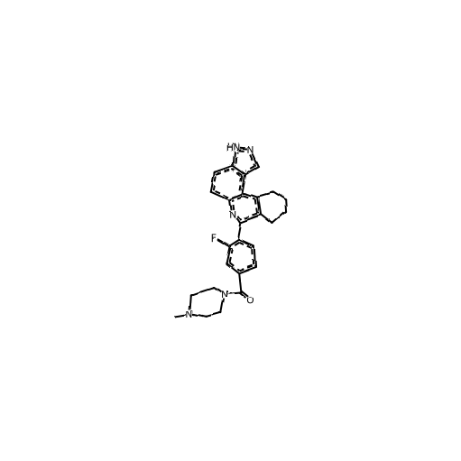 CN1CCN(C(=O)c2ccc(-c3nc4ccc5[nH]ncc5c4c4c3CCCC4)c(F)c2)CC1